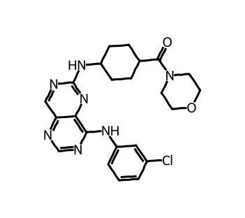 O=C(C1CCC(Nc2ncc3ncnc(Nc4cccc(Cl)c4)c3n2)CC1)N1CCOCC1